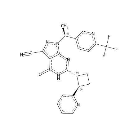 C[C@@H](c1ccc(C(F)(F)F)nc1)n1nc(C#N)c2c(=O)[nH]c([C@@H]3CC[C@H]3c3ccccn3)nc21